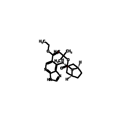 CCOC(=O)c1cnc2[nH]cnc2c1N[C@@H]1C[C@H]2CC[C@@H](C1)N2C(=O)OC(C)(C)C